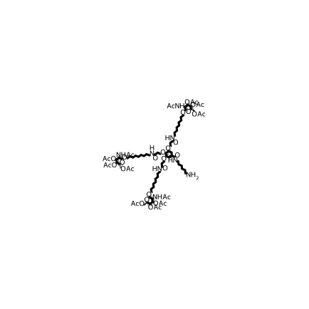 CC(=O)N[C@H]1[C@H](OCCCCCCCCCNC(=O)CCO[C@@H]2[C@H](OCCC(=O)NCCCCCCCCCO[C@@H]3O[C@H](COC(C)=O)[C@H](OC(C)=O)[C@H](OC(C)=O)[C@H]3NC(C)=O)C=C(C(=O)NCCCCCCN)C[C@H]2OCCC(=O)NCCCCCCCCCO[C@@H]2O[C@H](COC(C)=O)[C@H](OC(C)=O)[C@H](OC(C)=O)[C@H]2NC(C)=O)O[C@H](COC(C)=O)[C@H](OC(C)=O)[C@@H]1OC(C)=O